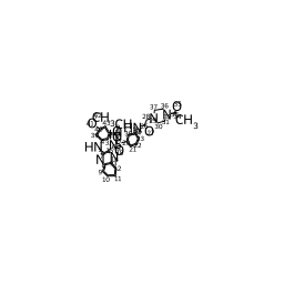 COc1cc(Nc2nc3ccccc3nc2NS(=O)(=O)c2cccc(NC(=O)CN3CCN(C(C)=O)CC3)c2)cc(OC)c1